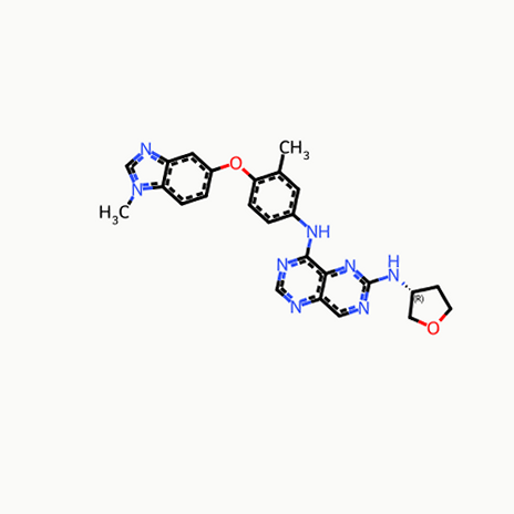 Cc1cc(Nc2ncnc3cnc(N[C@@H]4CCOC4)nc23)ccc1Oc1ccc2c(c1)ncn2C